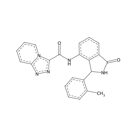 Cc1ccccc1C1NC(=O)c2cccc(NC(=O)c3nnc4ccccn34)c21